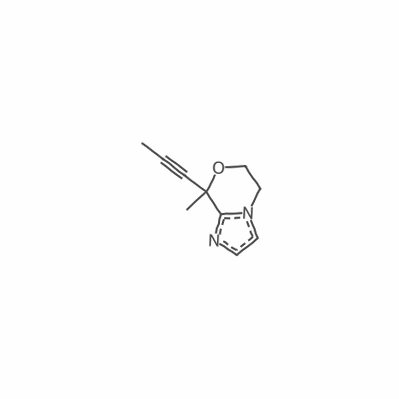 CC#CC1(C)OCCn2ccnc21